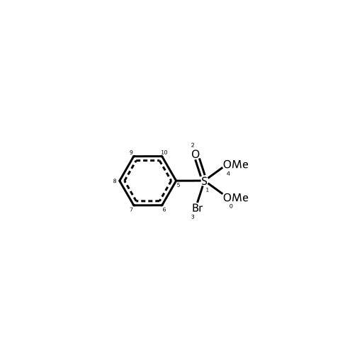 COS(=O)(Br)(OC)c1ccccc1